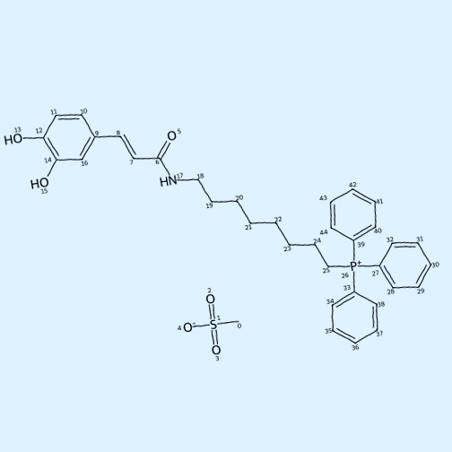 CS(=O)(=O)[O-].O=C(C=Cc1ccc(O)c(O)c1)NCCCCCCCC[P+](c1ccccc1)(c1ccccc1)c1ccccc1